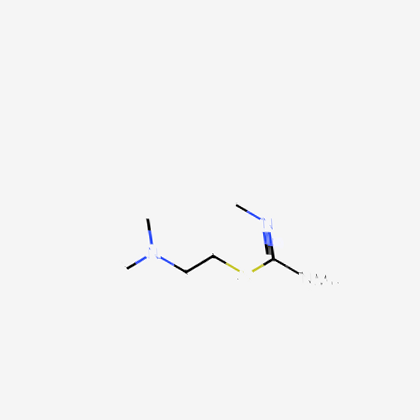 C/N=C(/NC)SCCN(C)C